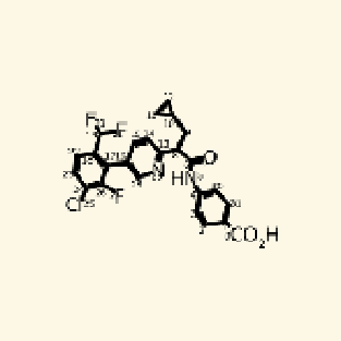 O=C(O)c1ccc(NC(=O)C(CC2CC2)c2ccc(-c3c(C(F)F)ccc(Cl)c3F)cn2)cc1